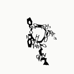 CC(C)C[C@H]1C(=O)N(C)C2(CC2)C(=O)N[C@H](Cc2ccccc2)COc2cnc3ccccc3c2C(=O)N[C@H](C(=O)NCCc2nc(CC3CC3)no2)CC(=O)N1C